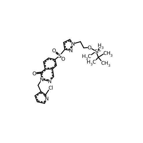 CC(C)(C)[Si](C)(C)OCCn1ccc(S(=O)(=O)c2ccc3c(=O)n(Cc4cccnc4Cl)ncc3c2)n1